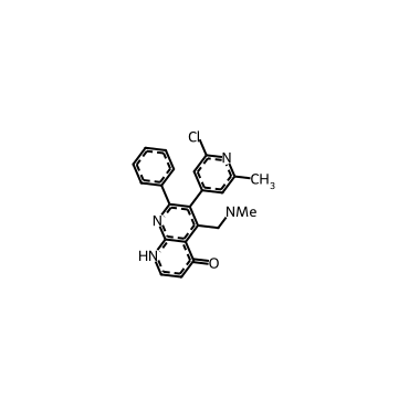 CNCc1c(-c2cc(C)nc(Cl)c2)c(-c2ccccc2)nc2[nH]ccc(=O)c12